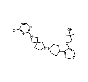 CC(C)(O)COc1ccccc1C1CCN([C@@H]2CCC3(C2)CN(c2ncnc(Cl)n2)C3)CC1